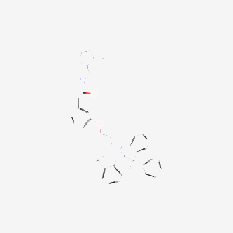 CCN1CCCC1CNC(=O)Cc1cccc(OCCCNCC(Cc2cccc(C(F)(F)F)c2Cl)(c2ccccc2)c2ccccc2)c1